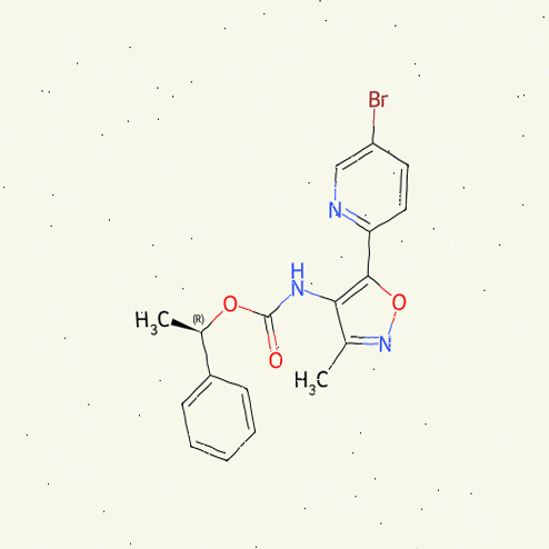 Cc1noc(-c2ccc(Br)cn2)c1NC(=O)O[C@H](C)c1ccccc1